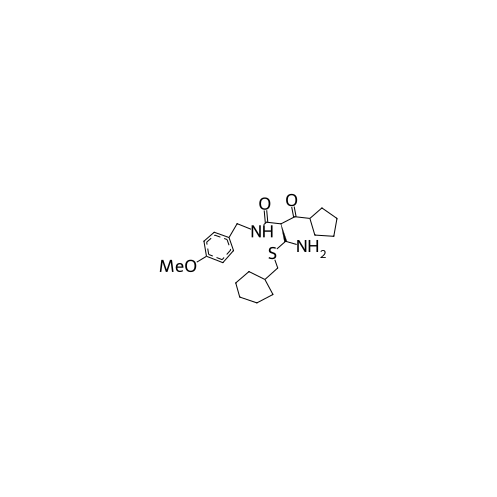 COc1ccc(CNC(=O)[C@@H](C(=O)C2CCCC2)C(N)SCC2CCCCC2)cc1